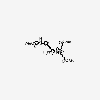 COC(=O)CCCCS(=O)(CCCCC(=O)OC)=NC(=O)c1cnc(N)c(C#Cc2cccc(C(=O)Nc3ccc(OC)c(Cl)c3)c2)c1